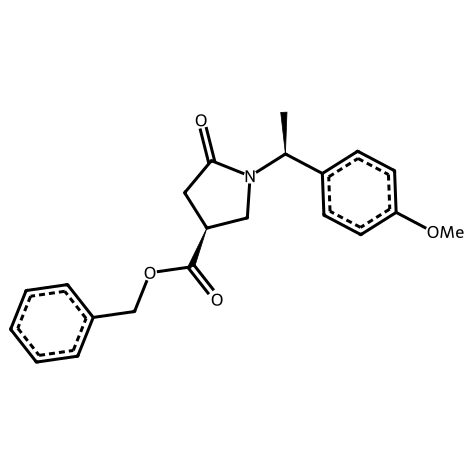 COc1ccc([C@H](C)N2C[C@@H](C(=O)OCc3ccccc3)CC2=O)cc1